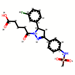 CS(=O)(=O)Nc1ccc(C2=NN(C(=O)CCCC(=O)O)C(c3cccc(F)c3)C2)cc1